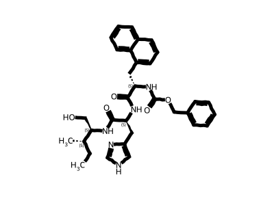 CC[C@H](C)[C@@H](CO)NC(=O)[C@H](Cc1c[nH]cn1)NC(=O)[C@H](Cc1cccc2ccccc12)NC(=O)OCc1ccccc1